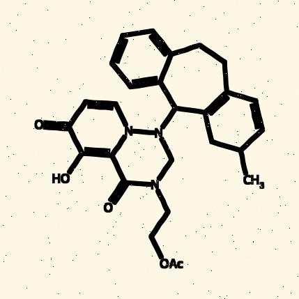 CC(=O)OCCN1CN(C2C3=C(C=CC(C)C3)CCc3ccccc32)n2ccc(=O)c(O)c2C1=O